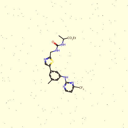 CCOC(=O)C(C)NC(=O)NCc1ncc(-c2cc(C)cc(Nc3nccc(C(F)(F)F)n3)c2)s1